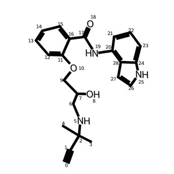 C#CC(C)(C)NCC(O)COc1ccccc1C(=O)Nc1cccc2[nH]ccc12